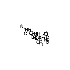 COc1cc(C(=O)NCCN(C)C)c(C)cc1Nc1ncc(C(F)(F)F)c(N[C@@H]2Cc3ccccc3[C@H]2N(C)S(C)(=O)=O)n1